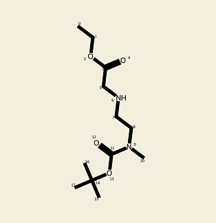 CCOC(=O)CNCCN(C)C(=O)OC(C)(C)C